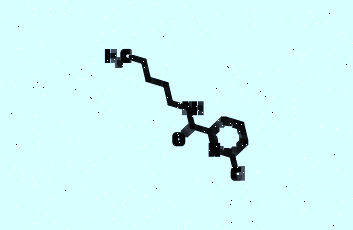 CCCCCNC(=O)c1cccc(Cl)n1